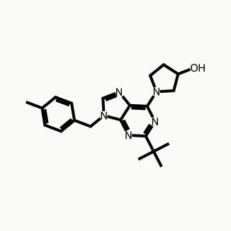 Cc1ccc(Cn2cnc3c(N4CCC(O)C4)nc(C(C)(C)C)nc32)cc1